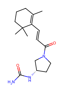 CC1=C(C=CC(=O)N2CC[C@H](NC(N)=O)C2)C(C)(C)CCC1